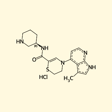 Cc1c[nH]c2nccc(N3C=C(C(=O)N[C@@H]4CCCNC4)SCC3)c12.Cl